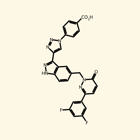 O=C(O)c1ccc(-n2cc(-c3n[nH]c4ccc(Cn5nc(-c6cc(F)cc(F)c6)ccc5=O)cc34)nn2)cc1